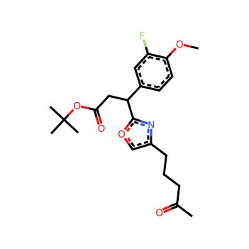 COc1ccc(C(CC(=O)OC(C)(C)C)c2nc(CCCC(C)=O)co2)cc1F